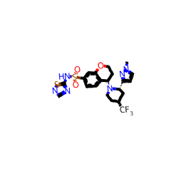 Cn1ccc([C@@H]2CC(C(F)(F)F)CCN2[C@H]2CCOc3cc(S(=O)(=O)Nc4ncns4)ccc32)n1